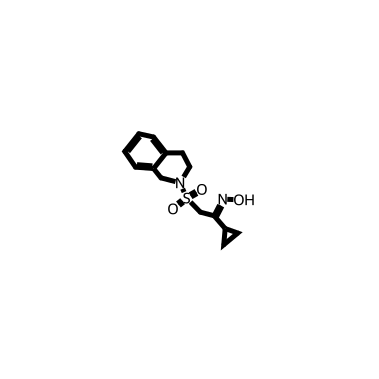 O=S(=O)(CC(=NO)C1CC1)N1CCc2ccccc2C1